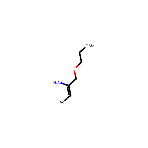 COCCOC/C(N)=C/C(C)=O